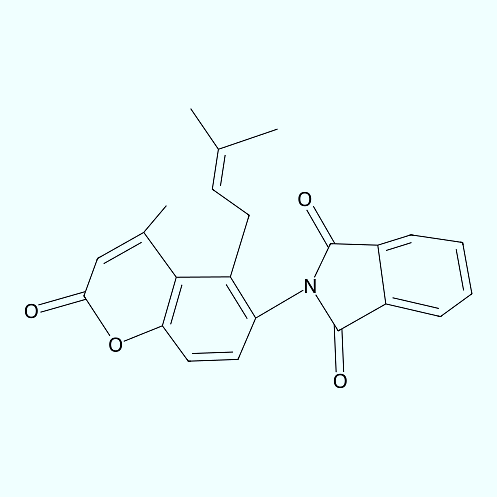 CC(C)=CCc1c(N2C(=O)c3ccccc3C2=O)ccc2oc(=O)cc(C)c12